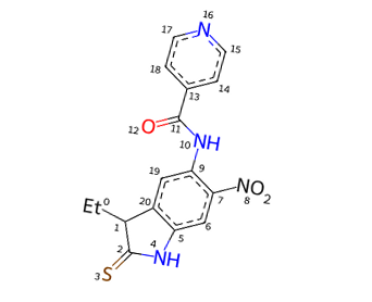 CCC1C(=S)Nc2cc([N+](=O)[O-])c(NC(=O)c3ccncc3)cc21